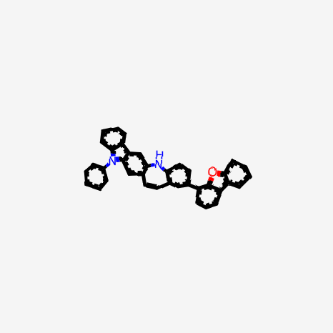 C1=Cc2cc3c(cc2Nc2ccc(-c4cccc5c4oc4ccccc45)cc21)c1ccccc1n3-c1ccccc1